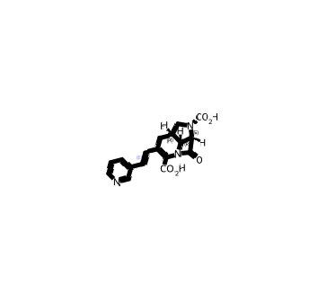 O=C(O)C1=C(/C=C/c2cccnc2)C[C@@H]2CN(C(=O)O)[C@@H]3C(=O)N1[C@H]23